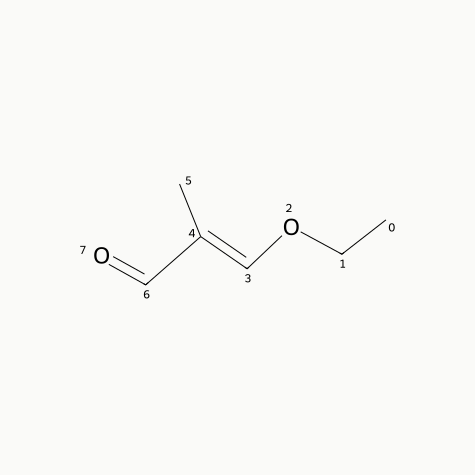 CCO/C=C(\C)C=O